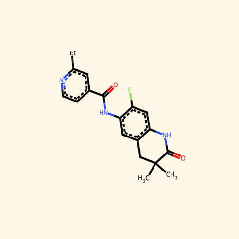 CCc1cc(C(=O)Nc2cc3c(cc2F)NC(=O)C(C)(C)C3)ccn1